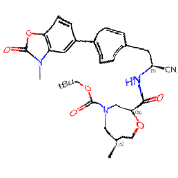 C[C@@H]1CO[C@H](C(=O)N[C@H](C#N)Cc2ccc(-c3ccc4oc(=O)n(C)c4c3)cc2)CN(C(=O)OC(C)(C)C)C1